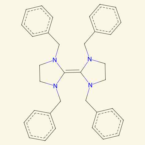 c1ccc(CN2CCN(Cc3ccccc3)C2=C2N(Cc3ccccc3)CCN2Cc2ccccc2)cc1